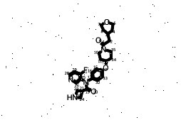 O=C(CC1CCOCC1)N1CCC(Oc2ccc(N(C(=O)C3CNC3)c3cnccc3F)cc2)CC1